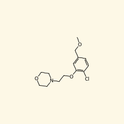 COCc1ccc(Cl)c(OCCN2CCOCC2)c1